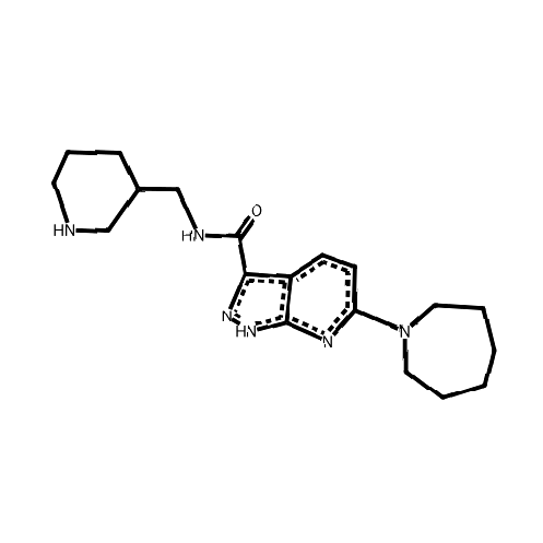 O=C(NCC1CCCNC1)c1n[nH]c2nc(N3CCCCCC3)ccc12